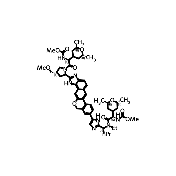 CCC[C@@H](c1ncc(-c2ccc3c(c2)COc2cc4c(ccc5nc(C6C[C@H](COC)CN6C(=O)[C@@H](NC(=O)OC)C6C[C@@H](C)O[C@H](C)C6)[nH]c54)cc2-3)[nH]1)N(CC)C(=O)[C@@H](NC(=O)OC)C1C[C@@H](C)O[C@H](C)C1